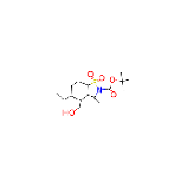 CCC1CCC2C(C1CO)C(C)N(C(=O)OC(C)(C)C)S2(=O)=O